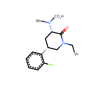 CC(C)CN1C[C@H](c2ccccc2F)C[C@H](N(C(=O)O)C(C)(C)C)C1=O